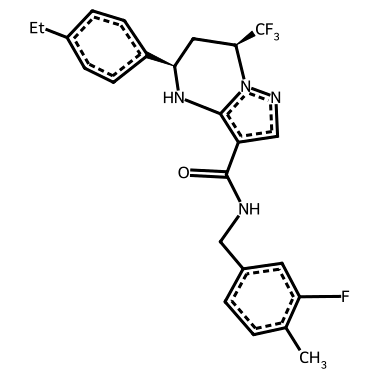 CCc1ccc([C@H]2C[C@@H](C(F)(F)F)n3ncc(C(=O)NCc4ccc(C)c(F)c4)c3N2)cc1